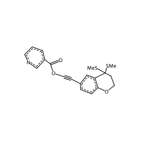 CSC1(SC)CCOc2ccc(C#COC(=O)c3cccnc3)cc21